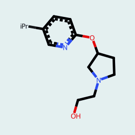 CC(C)c1ccc(OC2CCN(CCO)C2)nc1